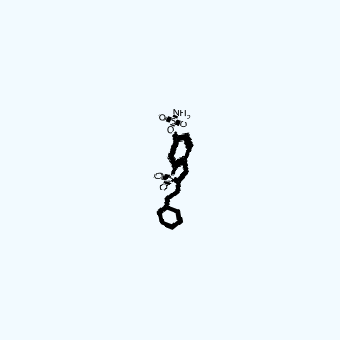 NS(=O)(=O)Oc1ccc2c(c1)S(=O)(=O)C(CCC1CCCCC1)=C2